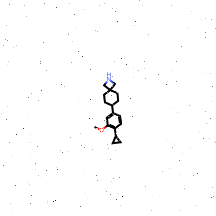 COc1cc(C2CCC3(CC2)CNC3)ccc1C1CC1